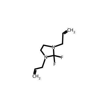 C=CCN1CCN(CC=C)C1(F)F